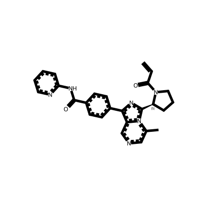 C=CC(=O)N1CCC[C@H]1c1nc(-c2ccc(C(=O)Nc3ccccn3)cc2)c2cncc(C)n12